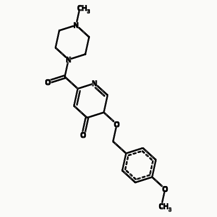 COc1ccc(COC2C=NC(C(=O)N3CCN(C)CC3)=CC2=O)cc1